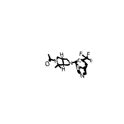 CC(=O)N1C[C@@H]2CN(c3cc(C(F)(F)F)cc4cncn34)C[C@@H]2C1(C)C